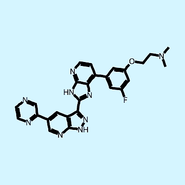 CN(C)CCOc1cc(F)cc(-c2ccnc3[nH]c(-c4n[nH]c5ncc(-c6cnccn6)cc45)nc23)c1